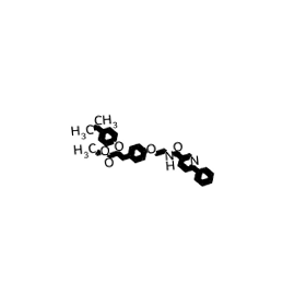 CCOC(=O)C(Cc1ccc(OCCNC(=O)c2ccc(-c3ccccc3)nc2)cc1)Oc1ccc(C(C)C)cc1